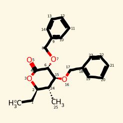 CC[C@H]1OC(=O)[C@H](OCc2ccccc2)[C@@H](OCc2ccccc2)[C@@H]1C